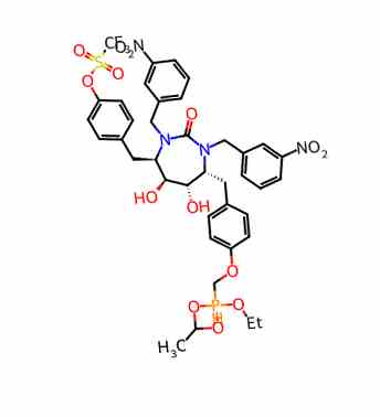 CCO[PH]1(COc2ccc(C[C@@H]3[C@H](O)[C@@H](O)[C@@H](Cc4ccc(OS(=O)(=O)C(F)(F)F)cc4)N(Cc4cccc([N+](=O)[O-])c4)C(=O)N3Cc3cccc([N+](=O)[O-])c3)cc2)OC(C)O1